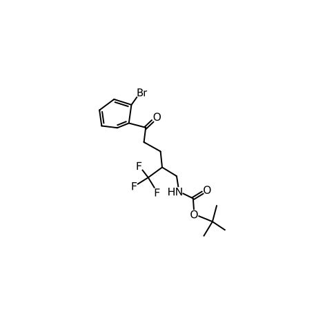 CC(C)(C)OC(=O)NCC(CCC(=O)c1ccccc1Br)C(F)(F)F